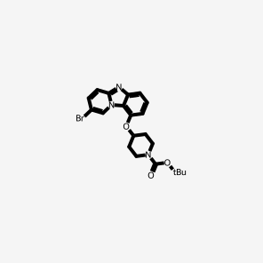 CC(C)(C)OC(=O)N1CCC(Oc2cccc3nc4ccc(Br)cn4c23)CC1